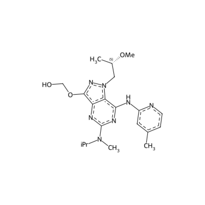 CO[C@@H](C)Cn1nc(OCO)c2nc(N(C)C(C)C)nc(Nc3cc(C)ccn3)c21